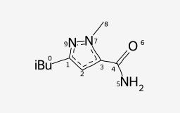 CCC(C)c1cc(C(N)=O)n(C)n1